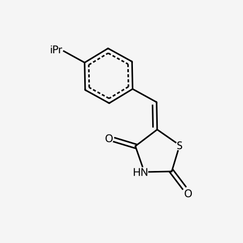 CC(C)c1ccc(/C=C2/SC(=O)NC2=O)cc1